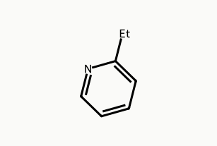 [CH]Cc1ccccn1